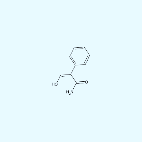 NC(=O)C(=CO)c1ccccc1